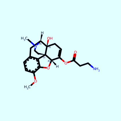 COc1ccc2c3c1O[C@H]1C(OC(=O)CCN)=CC[C@@]4(O)[C@@H](C2)N(C)CC[C@]314